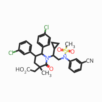 CC1(CC(=O)O)CC(c2cccc(Cl)c2)C(c2ccc(Cl)cc2)N(C(CN(c2cccc(C#N)c2)S(C)(=O)=O)C2CC2)C1=O